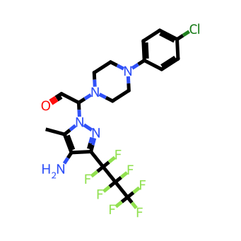 Cc1c(N)c(C(F)(F)C(F)(F)C(F)(F)F)nn1C(C=O)N1CCN(c2ccc(Cl)cc2)CC1